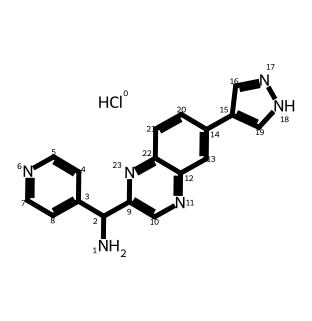 Cl.NC(c1ccncc1)c1cnc2cc(-c3cn[nH]c3)ccc2n1